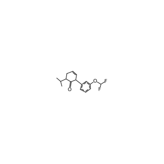 CC(C)C1CC=CC(c2cccc(OC(F)F)c2)C1=O